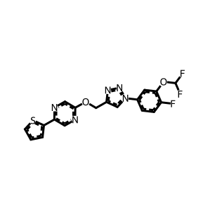 Fc1ccc(-n2cc(COc3cnc(-c4cccs4)cn3)nn2)cc1OC(F)F